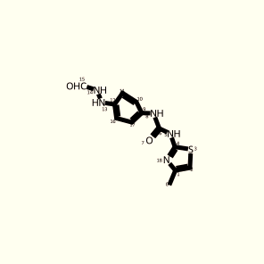 Cc1csc(NC(=O)Nc2ccc(NNC=O)cc2)n1